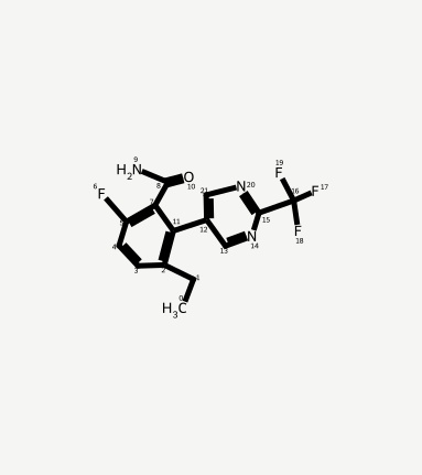 CCc1ccc(F)c(C(N)=O)c1-c1cnc(C(F)(F)F)nc1